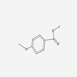 COc1ccc(C(=O)OI)cc1